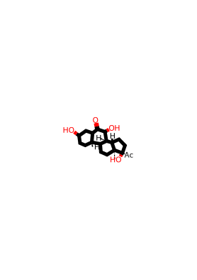 CC(=O)[C@@]1(O)CC[C@H]2[C@@H]3C(O)C(=O)C4CC(O)CC[C@]4(C)[C@H]3CC[C@@]21C